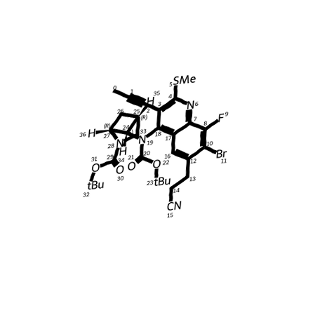 CC#Cc1c(SC)nc2c(F)c(Br)c(CCC#N)cc2c1N(C(=O)OC(C)(C)C)[C@H]1[C@@H]2C[C@H]1N(C(=O)OC(C)(C)C)C2